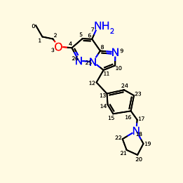 CCCOc1cc(N)c2ncc(Cc3ccc(CN4CCCC4)cc3)n2n1